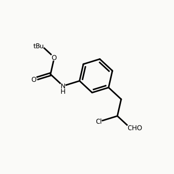 CC(C)(C)OC(=O)Nc1cccc(CC(Cl)C=O)c1